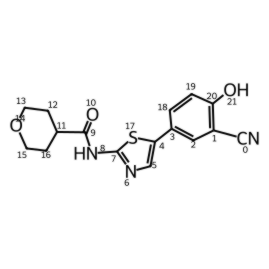 N#Cc1cc(-c2cnc(NC(=O)C3CCOCC3)s2)ccc1O